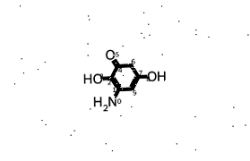 NC1=C(O)C(=O)CC(O)=C1